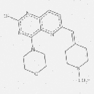 O=C(O)N1CCC(=Cc2ccc3nc(Cl)nc(N4CCOCC4)c3n2)CC1